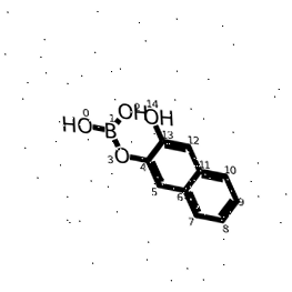 OB(O)Oc1cc2ccccc2cc1O